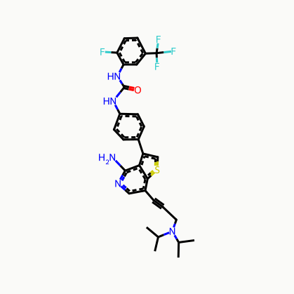 CC(C)N(CC#Cc1cnc(N)c2c(-c3ccc(NC(=O)Nc4cc(C(F)(F)F)ccc4F)cc3)csc12)C(C)C